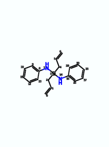 C=CC[Si](CC=C)(Nc1ccccc1)Nc1ccccc1